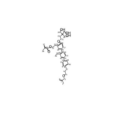 C=C(C)COCCCc1ccc(-c2ccc(-c3ccc(OCCC(CO)(CO)CO)c(CCOC(=O)C(=C)C)c3)c(CC)c2)cc1